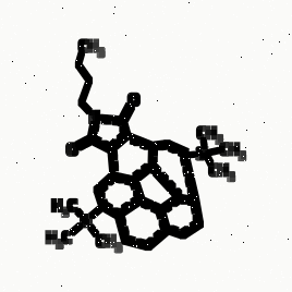 CCCCn1c(=O)c2c3cc([Si](C)(C)C)c4ccc5ccc6c([Si](C)(C)C)cc(c2c1=O)c1c6c5c4c31